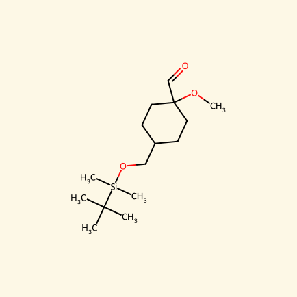 COC1(C=O)CCC(CO[Si](C)(C)C(C)(C)C)CC1